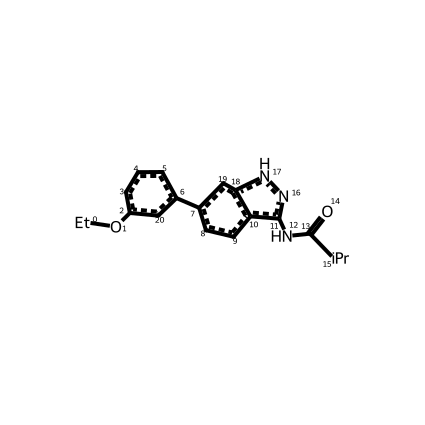 CCOc1cccc(-c2ccc3c(NC(=O)C(C)C)n[nH]c3c2)c1